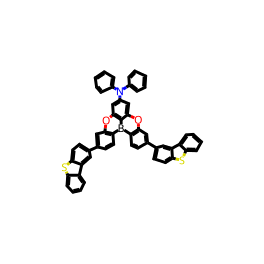 c1ccc(N(c2ccccc2)c2cc3c4c(c2)Oc2cc(-c5ccc6sc7ccccc7c6c5)ccc2B4c2ccc(-c4ccc5sc6ccccc6c5c4)cc2O3)cc1